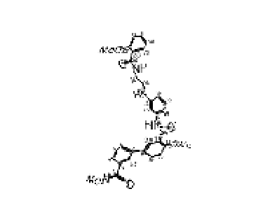 CNC(=O)c1cccc(-c2ccc(OC)c([S+]([O-])Nc3cccc(NCCNC(=O)c4ccccc4OC)c3)c2)c1